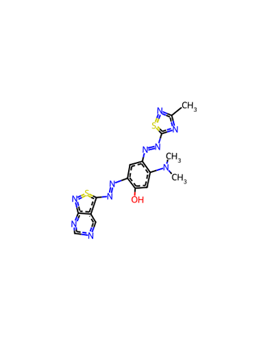 Cc1nsc(/N=N/c2cc(/N=N/c3snc4ncncc34)c(O)cc2N(C)C)n1